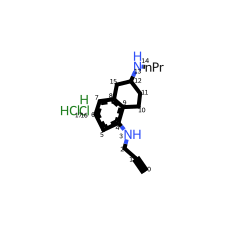 C#CCNc1cccc2c1CCC(NCCC)C2.Cl.Cl